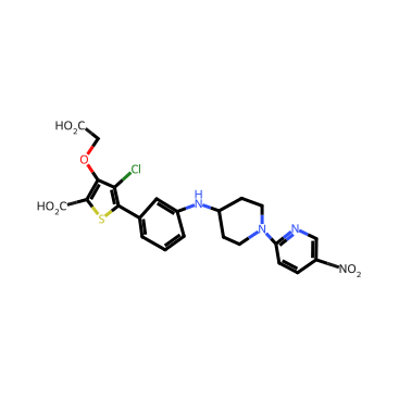 O=C(O)COc1c(C(=O)O)sc(-c2cccc(NC3CCN(c4ccc([N+](=O)[O-])cn4)CC3)c2)c1Cl